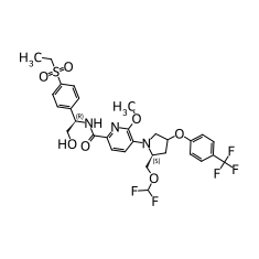 CCS(=O)(=O)c1ccc([C@H](CO)NC(=O)c2ccc(N3CC(Oc4ccc(C(F)(F)F)cc4)C[C@H]3COC(F)F)c(OC)n2)cc1